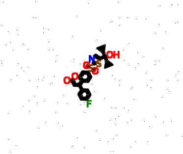 O=c1cc(-c2ccc(F)cc2)c2ccc(S(=O)(=O)c3ncc(C(O)(C4CC4)C4CC4)s3)cc2o1